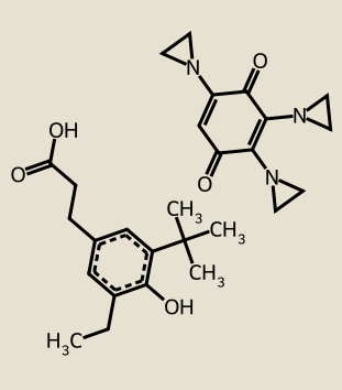 CCc1cc(CCC(=O)O)cc(C(C)(C)C)c1O.O=C1C=C(N2CC2)C(=O)C(N2CC2)=C1N1CC1